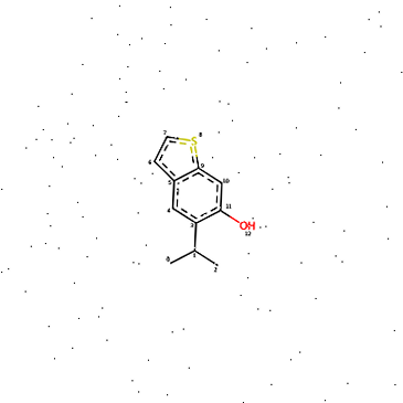 CC(C)c1cc2ccsc2cc1O